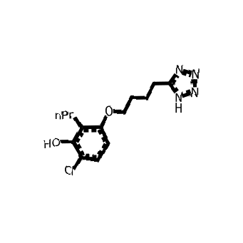 CCCc1c(OCCCCc2nnn[nH]2)ccc(Cl)c1O